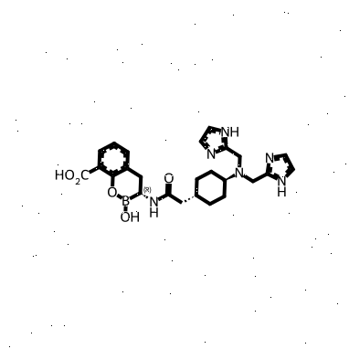 O=C(C[C@H]1CC[C@H](N(Cc2ncc[nH]2)Cc2ncc[nH]2)CC1)N[C@H]1Cc2cccc(C(=O)O)c2OB1O